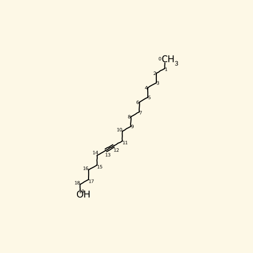 CCCCCCCCCCCCC#CCCCCCO